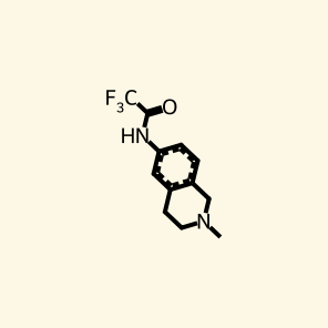 CN1CCc2cc(NC(=O)C(F)(F)F)ccc2C1